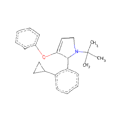 CC(C)(C)N1CC=C(Oc2ccccc2)C1c1ccccc1C1CC1